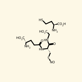 N[C@@H](CCC(=O)N[C@@H](CSN=O)C(=O)NCC(=O)O)C(=O)O.N[C@@H](CCS)C(=O)O